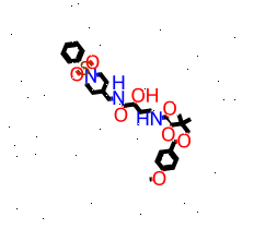 COc1ccc(C2OCC(C)(C)[C@H](C(=O)NCCC(O)C(=O)NCC3CCN(S(=O)(=O)c4ccccc4)CC3)O2)cc1